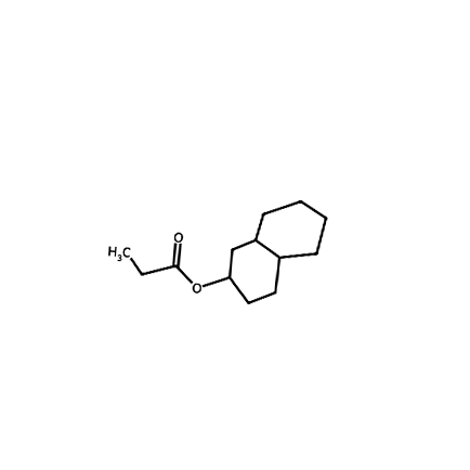 CCC(=O)OC1CCC2CCCCC2C1